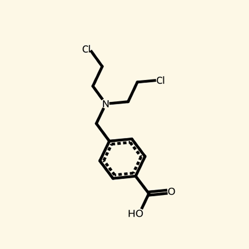 O=C(O)c1ccc(CN(CCCl)CCCl)cc1